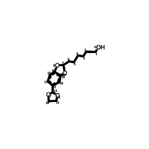 OCCCCCCC1Oc2ccc(C3OCCO3)cc2O1